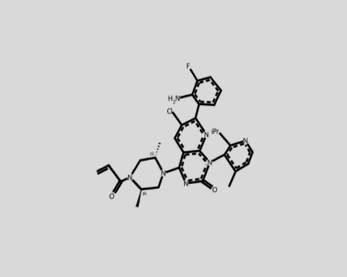 C=CC(=O)N1C[C@H](C)N(c2nc(=O)n(-c3c(C)ccnc3C(C)C)c3nc(-c4cccc(F)c4N)c(Cl)cc23)C[C@H]1C